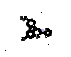 C/C(=C\n1c2c(c3cc(Cl)ccc31)CN(C)CC2)c1nccs1